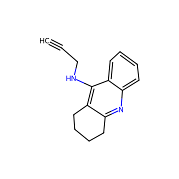 C#CCNc1c2c(nc3ccccc13)CCCC2